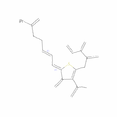 C=CC(=C)C(=C)Cc1s/c(=C\C=C\CCC(=C)C(C)C)c(=C)c1C(=C)C